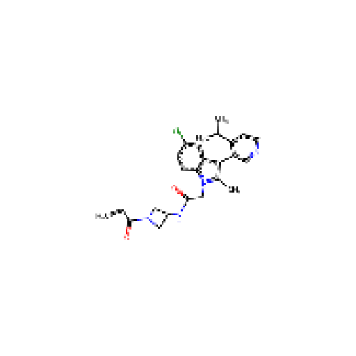 C=CC(=O)N1CC(NC(=O)Cn2c(C)c(-c3cnccc3C(C)C)c3cc(Cl)ccc32)C1